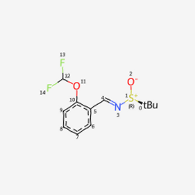 CC(C)(C)[S@+]([O-])N=Cc1ccccc1OC(F)F